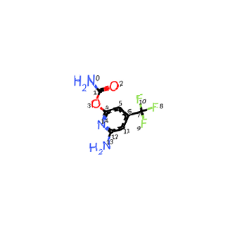 NC(=O)Oc1cc(C(F)(F)F)cc(N)n1